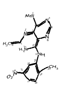 C=C/N=C1/C(NC)=NC=N/C1=C(/N)Nc1cc([N+](=O)[O-])ccc1C